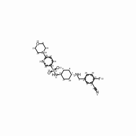 N#Cc1cc(CN[C@H]2CC[C@H](NS(=O)(=O)c3ccc(N4CCOCC4)nc3)CC2)ccc1F